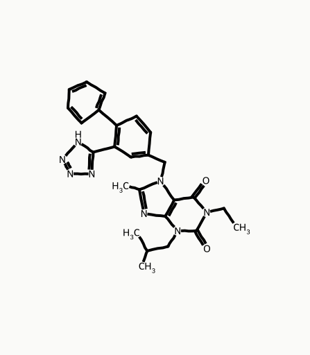 CCn1c(=O)c2c(nc(C)n2Cc2ccc(-c3ccccc3)c(-c3nnn[nH]3)c2)n(CC(C)C)c1=O